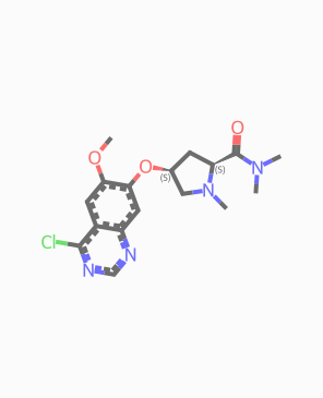 COc1cc2c(Cl)ncnc2cc1O[C@H]1C[C@@H](C(=O)N(C)C)N(C)C1